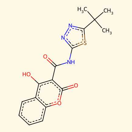 CC(C)(C)c1nnc(NC(=O)c2c(O)c3ccccc3oc2=O)s1